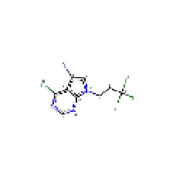 FC(F)(F)CCn1cc(I)c2c(Cl)ncnc21